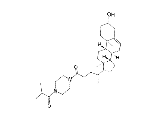 CC(C)C(=O)N1CCN(C(=O)CC[C@@H](C)[C@H]2CC[C@H]3[C@@H]4CC=C5C[C@@H](O)CC[C@]5(C)[C@H]4CC[C@]23C)CC1